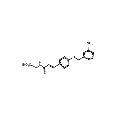 CCOC(=O)CNC(=O)/C=C/c1ccc(OCc2cccc([N+](=O)[O-])c2)cc1